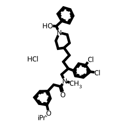 CC(C)Oc1cccc(CC(=O)N(C)CC(CCC2CCN(C(O)c3ccccc3)CC2)c2ccc(Cl)c(Cl)c2)c1.Cl